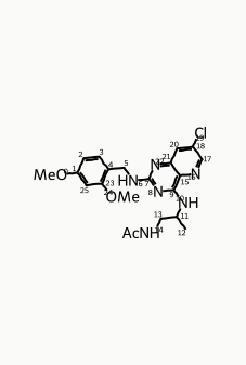 COc1ccc(CNc2nc(NC(C)CNC(C)=O)c3ncc(Cl)cc3n2)c(OC)c1